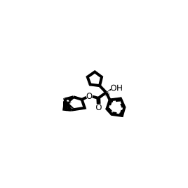 O=C(OC1CC2CCC1[N+]21CCCC1)[C@](O)(c1ccccc1)C1CCCC1